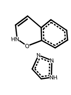 C1=Cc2ccccc2ON1.c1c[nH]nn1